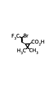 CC1(C)[C@H](C(=O)O)[C@@H]1C=C(Br)C(F)(F)F